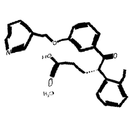 Cc1ccccc1[C@H](CCC(=O)O)C(=O)c1cccc(OCc2cccnc2)c1.O